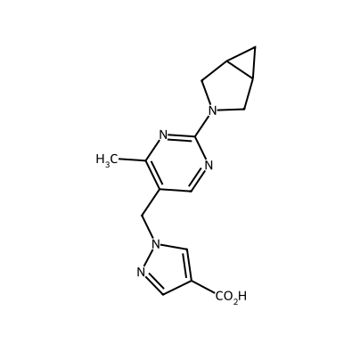 Cc1nc(N2CC3CC3C2)ncc1Cn1cc(C(=O)O)cn1